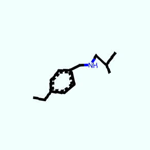 CCc1ccc(CNCC(C)C)cc1